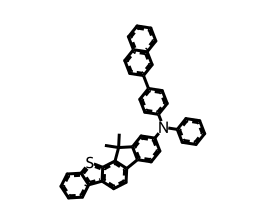 CC1(C)c2cc(N(c3ccccc3)c3ccc(-c4ccc5ccccc5c4)cc3)ccc2-c2ccc3c(sc4ccccc43)c21